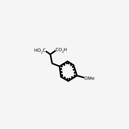 COc1ccc(CC(C(=O)O)C(=O)O)cc1